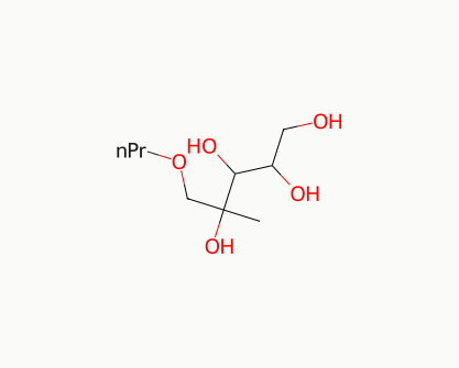 CCCOCC(C)(O)C(O)C(O)CO